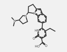 CCc1cc(C(=O)O)c(=O)[nH]c1-c1ccc2cc3n(c2c1)C(N1CCC(N(C)C)C1)CC3